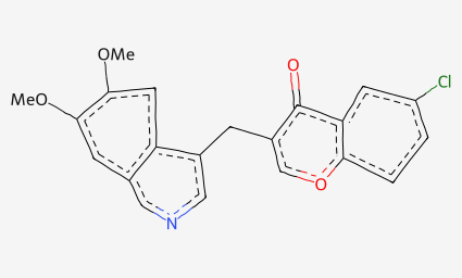 COc1cc2cncc(Cc3coc4ccc(Cl)cc4c3=O)c2cc1OC